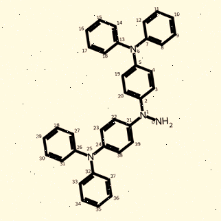 NN(c1ccc(N(c2ccccc2)c2ccccc2)cc1)c1ccc(N(c2ccccc2)c2ccccc2)cc1